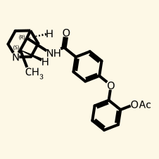 CC(=O)Oc1ccccc1Oc1ccc(C(=O)N[C@@H]2C3CCN(CC3)[C@H]2C)cc1